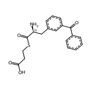 N[C@@H](Cc1cccc(C(=O)c2ccccc2)c1)C(=O)SCCC(=O)O